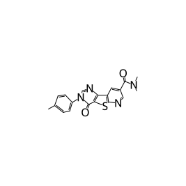 Cc1ccc(-n2cnc3c(sc4ncc(C(=O)N(C)C)cc43)c2=O)cc1